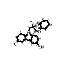 Cc1ccc2c(c1)c1cc(C#N)ccc1n2CC(C)(O)COc1ccccc1